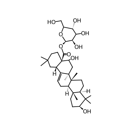 CC1(C)CC[C@]2(C(=O)O[C@H]3OC(CO)[C@H](O)C(O)[C@H]3O)C(O)C[C@]3(C)C(=CC[C@@H]4[C@@]5(C)CC[C@H](O)C(C)(C)[C@@H]5CC[C@]43C)[C@@H]2C1